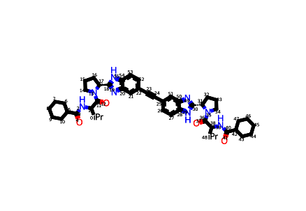 CC(C)C(NC(=O)C1CCCCC1)C(=O)N1CCC[C@H]1c1nc2cc(C#Cc3ccc4[nH]c([C@@H]5CCCN5C(=O)C(NC(=O)C5CCCCC5)C(C)C)nc4c3)ccc2[nH]1